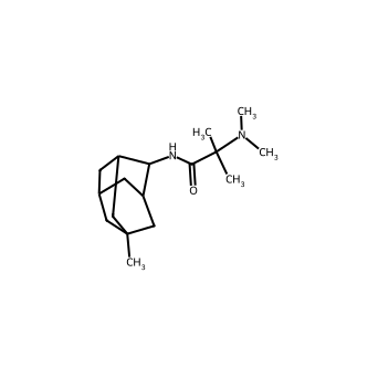 CN(C)C(C)(C)C(=O)NC1C2CC3CC1CC(C)(C3)C2